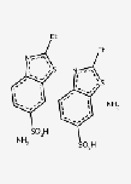 CCc1nc2ccc(S(=O)(=O)O)cc2s1.CCc1nc2ccc(S(=O)(=O)O)cc2s1.N.N